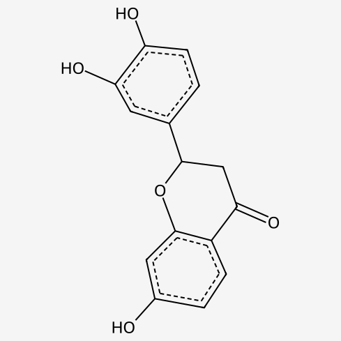 O=C1CC(c2ccc(O)c(O)c2)Oc2cc(O)ccc21